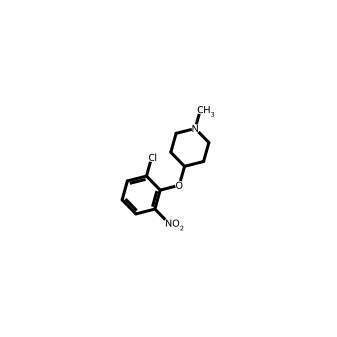 CN1CCC(Oc2c(Cl)cccc2[N+](=O)[O-])CC1